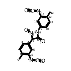 Cc1ccc(C2C(=O)N(c3ccc(C)c(N=C=O)c3)[N+]2=O)cc1N=C=O